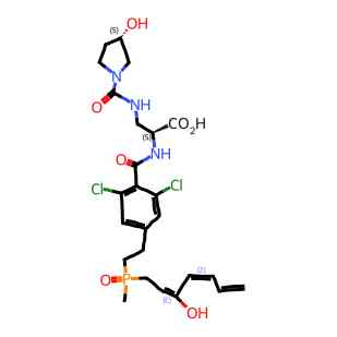 C=C/C=C\C(O)=C/CP(C)(=O)CCc1cc(Cl)c(C(=O)N[C@@H](CNC(=O)N2CC[C@H](O)C2)C(=O)O)c(Cl)c1